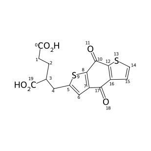 O=C(O)CCC(Cc1cc2c(s1)C(=O)c1sccc1C2=O)C(=O)O